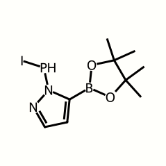 CC1(C)OB(c2ccnn2PI)OC1(C)C